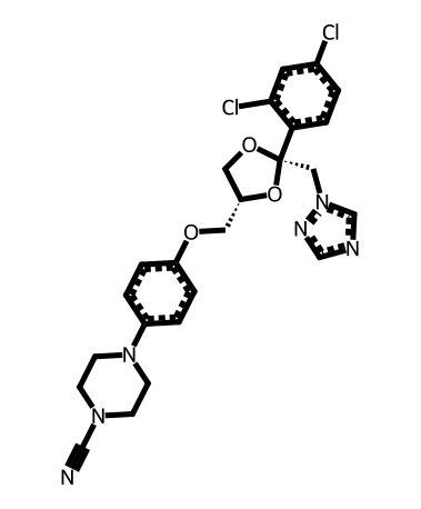 N#CN1CCN(c2ccc(OC[C@@H]3CO[C@@](Cn4cncn4)(c4ccc(Cl)cc4Cl)O3)cc2)CC1